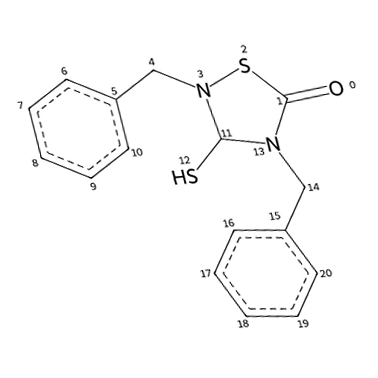 O=C1SN(Cc2ccccc2)C(S)N1Cc1ccccc1